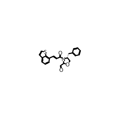 O=CC1OC[C@@H](Cc2ccccc2)N1C(=O)/C=C/c1cccc2ccsc12